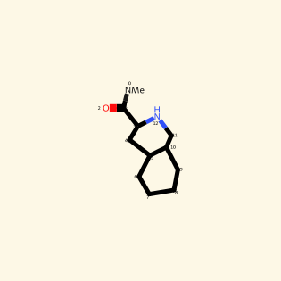 CNC(=O)C1CC2CCCCC2CN1